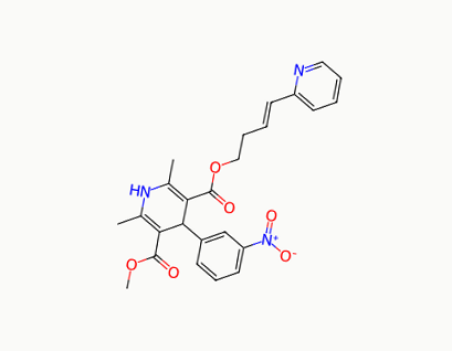 COC(=O)C1=C(C)NC(C)=C(C(=O)OCCC=Cc2ccccn2)C1c1cccc([N+](=O)[O-])c1